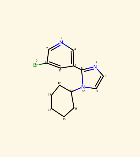 Brc1cncc(-c2nccn2C2CCCCC2)c1